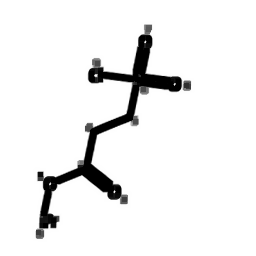 CC(C)OC(=O)CCS(=O)(=O)Cl